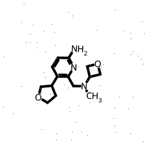 CN(Cc1nc(N)ccc1C1CCOC1)C1COC1